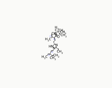 C=CC1=NC(C/C=C(B2OC(C)(C)C(C)(C)O2)\C(C)=C/C)NN1/C=C/C(=C/C)C(=C)C